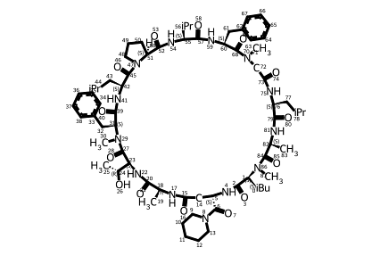 CC[C@H](C)[C@H]1C(=O)N[C@H](C(=O)N2CCCCC2)CC(=O)N[C@@H](C)C(=O)N[C@@H]([C@@H](C)O)C(=O)N(C)[C@@H](Cc2ccccc2)C(=O)N[C@@H](CC(C)C)C(=O)N2CCC[C@H]2C(=O)N[C@@H](C(C)C)C(=O)N[C@@H](Cc2ccccc2)C(=O)N(C)CC(=O)N[C@@H](CC(C)C)C(=O)N[C@@H](C)C(=O)N1C